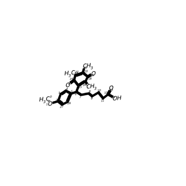 COc1ccc(C(CCCCCC(=O)O)C2=C(C)C(=O)C(C)=C(C)C2=O)cc1